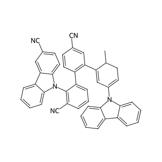 CC1CC=C(n2c3ccccc3c3ccccc32)C=C1c1cc(C#N)ccc1-c1cccc(C#N)c1-n1c2ccccc2c2cc(C#N)ccc21